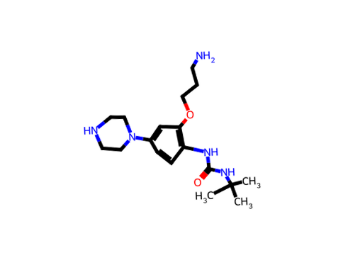 CC(C)(C)NC(=O)Nc1ccc(N2CCNCC2)cc1OCCCN